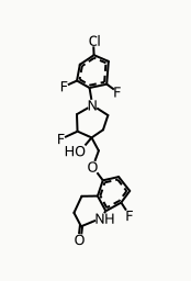 O=C1CCc2c(OCC3(O)CCN(c4c(F)cc(Cl)cc4F)CC3F)ccc(F)c2N1